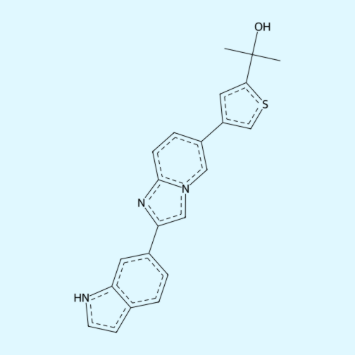 CC(C)(O)c1cc(-c2ccc3nc(-c4ccc5cc[nH]c5c4)cn3c2)cs1